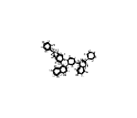 c1ccc(-c2nc(-c3cccc(-c4ccc5ccccc5c4-c4ccc5nc(-c6ccccc6)sc5c4)c3)c3ccccc3n2)cc1